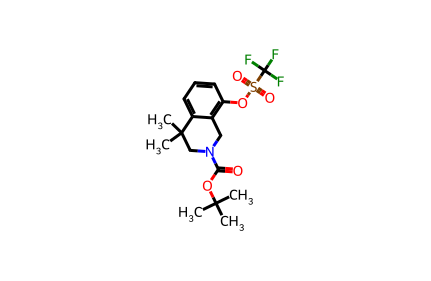 CC(C)(C)OC(=O)N1Cc2c(OS(=O)(=O)C(F)(F)F)cccc2C(C)(C)C1